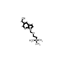 C[Si](C)(C)CCOCn1ccc2cc(CC#N)cnc21